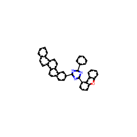 c1ccc(-c2nc(-c3ccc4ccc5c(ccc6c7ccccc7ccc65)c4c3)nc(-c3cccc4oc5ccccc5c34)n2)cc1